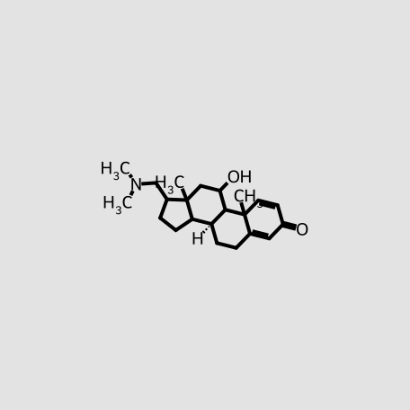 CN(C)CC1CCC2[C@@H]3CCC4=CC(=O)C=CC4(C)C3C(O)CC12C